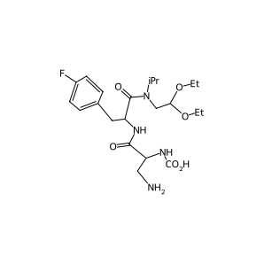 CCOC(CN(C(=O)C(Cc1ccc(F)cc1)NC(=O)C(CN)NC(=O)O)C(C)C)OCC